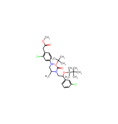 COC(=O)Cc1ccc(NCC(C)N(CC(O[Si](C)(C)C(C)(C)C)c2cccc(Cl)c2)C(=O)OC(C)(C)C)cc1Cl